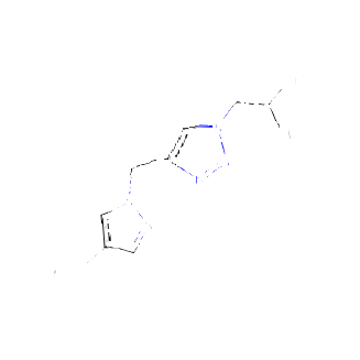 Cc1cnn(Cc2cn(CC(C)C)nn2)c1